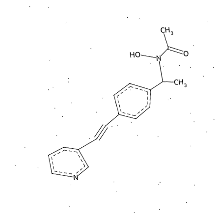 CC(=O)N(O)C(C)c1ccc(C#Cc2cccnc2)cc1